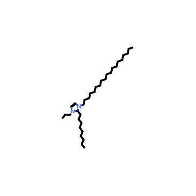 CCCCCCCCCCCCCCCCCCCN1C=CN(CCC)C1CCCCCCCCC